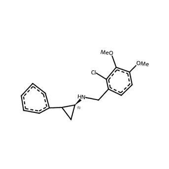 COc1ccc(CN[C@H]2CC2c2ccccc2)c(Cl)c1OC